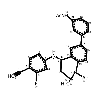 C#Cc1ccc(N[C@@H]2C[C@H](C)N(C(C)=O)c3ccc(-c4cccc(NC(C)=O)c4)cc32)cc1F